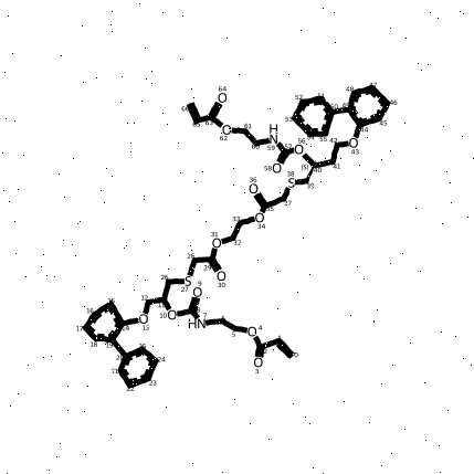 C=CC(=O)OCCNC(=O)OC(COc1ccccc1-c1ccccc1)CSCC(=O)OCCOC(=O)CSC[C@H](CCOc1ccccc1-c1ccccc1)OC(=O)NCCOC(=O)C=C